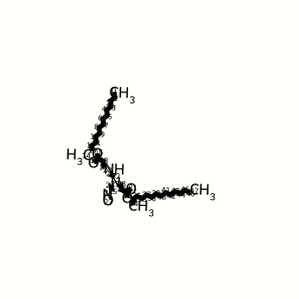 CCCCCCCCCCCCCC(C)OC(=O)CCNCCN(CCN=O)CCC(=O)OC(C)CCCCCCCCCCCCC